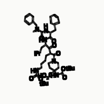 CC(C)CC(NC(=O)C(Cc1ccccc1)NC(=O)N(C)Cc1ccccc1)C(=O)C(CCCCNC(=O)OC(C)(C)C)C(=O)N1CCC(NC(=O)OC(C)(C)C)(C(=O)O)CC1